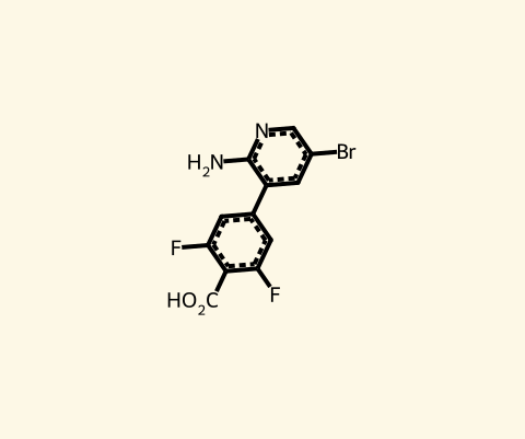 Nc1ncc(Br)cc1-c1cc(F)c(C(=O)O)c(F)c1